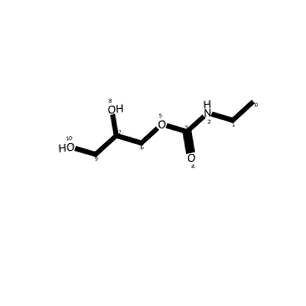 CCNC(=O)OCC(O)CO